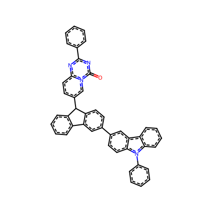 O=c1nc(-c2ccccc2)nc2ccc(C3c4ccccc4-c4cc(-c5ccc6c(c5)c5ccccc5n6-c5ccccc5)ccc43)cn12